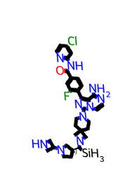 Nc1nccn2c(N3CCC4(CC3)CN(C([SiH3])[C@H]3CCN(C5CNC5)C3)C4)nc(-c3ccc(C(=O)Nc4cc(Cl)ccn4)cc3F)c12